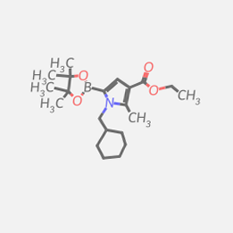 CCOC(=O)c1cc(B2OC(C)(C)C(C)(C)O2)n(CC2CCCCC2)c1C